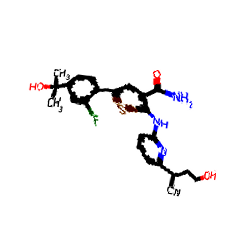 CC(C)(O)c1ccc(-c2cc(C(N)=O)c(Nc3cccc(C(C#N)CCO)n3)s2)c(F)c1